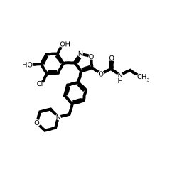 CCNC(=O)Oc1onc(-c2cc(Cl)c(O)cc2O)c1-c1ccc(CN2CCOCC2)cc1